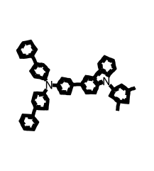 Cc1cc(C)cc(-n2c3ccccc3c3cc(-c4ccc(N(c5ccc(-c6ccccc6)cc5)c5ccc(-c6ccccc6)cc5)cc4)ccc32)c1